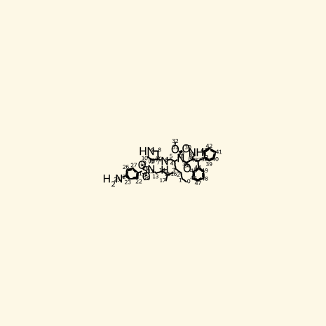 CCCCC(CN[C@@H]1CNC[C@H]1N(CCC(C)C)S(=O)(=O)c1ccc(N)cc1)N(C(=O)OC)C(=O)[C@@H](N)C(c1ccccc1)c1ccccc1